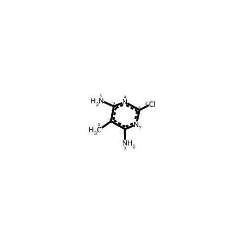 Cc1c(N)nc(Cl)nc1N